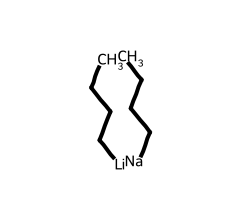 CCC[CH2][Na].[Li][CH2]CCC